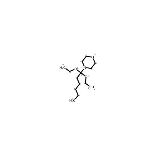 CCCCCC(OCC)(OCC)N1CCOCC1